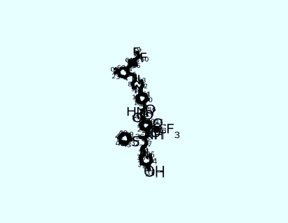 CC1(C)CCC(CN2CCN(c3ccc(C(=O)NS(=O)(=O)c4ccc(NC(CCN5CCC(O)CC5)CSc5ccccc5)c(S(=O)(=O)C(F)(F)F)c4)cc3)CC2)=C(C23CC(C(F)F)(C2)C3)C1